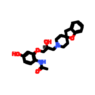 CC(=O)Nc1ccc(O)cc1OC[C@@H](O)CN1CCC2(CC1)Cc1ccccc1O2